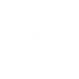 N#C[C@@]1(O)CCN(c2ccnc(Nc3ccc(C(=O)N4CC[C@H](F)C4)cc3)n2)C1=O